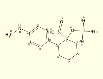 [2H]C([2H])([2H])OC1(C(=O)O)CCCCC1c1ccc(NC)cc1